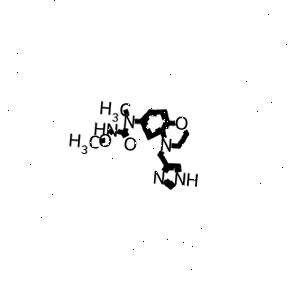 CONC(=O)N(C)c1ccc2c(c1)N(Cc1c[nH]cn1)CCO2